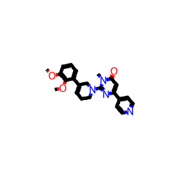 COc1cccc(C2=CCCN(c3nc(-c4ccncc4)cc(=O)n3C)C2)c1OC